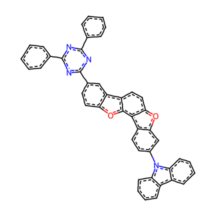 c1ccc(-c2nc(-c3ccccc3)nc(-c3ccc4oc5c(ccc6oc7cc(-n8c9ccccc9c9ccccc98)ccc7c65)c4c3)n2)cc1